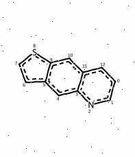 c1cnc2cc3ccsc3cc2c1